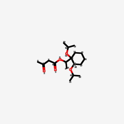 CC(=O)CC(=O)OC(C)[C]1(OC(C)C)CCC[CH2][Al]1[O]C(C)C